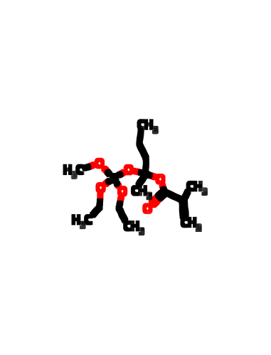 C=C(C)C(=O)OC(C)(CCC)O[Si](OC)(OCC)OCC